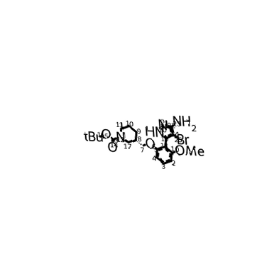 COc1cccc(OC[C@H]2CCCN(C(=O)OC(C)(C)C)C2)c1-c1[nH]nc(N)c1Br